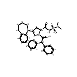 CN(C)S(=O)(=O)NC(=O)[C@@H]1C[C@H](N2CCCCc3ccccc32)CN1C(=O)C(c1ccccc1)c1ccccc1